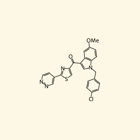 COc1ccc2c(c1)c(C(=O)c1csc(-c3ccnnc3)n1)cn2Cc1ccc(Cl)cc1